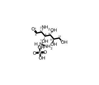 NN.N[C@@H](C=O)[C@@H](O)[C@H](O)[C@H](O)CO.O=S(=O)(O)O